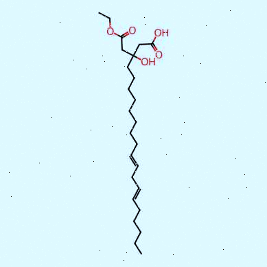 CCCCCC=CCC=CCCCCCCCCC(O)(CC(=O)O)CC(=O)OCC